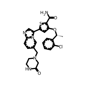 C[C@@H](Oc1cc(-c2cnc3ccc(CN4CCNC(=O)C4)cn23)sc1C(N)=O)c1ccccc1Cl